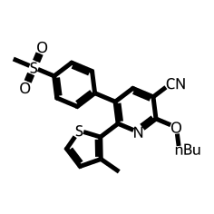 CCCCOc1nc(-c2sccc2C)c(-c2ccc(S(C)(=O)=O)cc2)cc1C#N